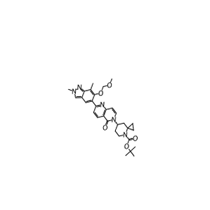 COCOc1c(-c2ccc3c(=O)n([C@@H]4CCN(C(=O)OC(C)(C)C)C5(CC5)C4)ccc3n2)cc2cn(C)nc2c1C